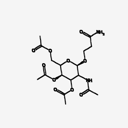 CC(=O)NC1C(OC(C)=O)[C@@H](OC(C)=O)C(COC(C)=O)O[C@H]1OCCC(N)=O